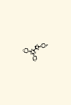 CN1CCN(c2nc(-c3nc(N4CCOCC4)nc(N4CCOCC4)n3)cs2)CC1